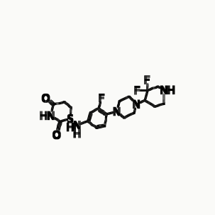 O=C1CC[SH](Nc2ccc(N3CCN(C4CCNCC4(F)F)CC3)c(F)c2)C(=O)N1